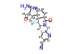 CC(CF)N(Cc1ccc(C#N)cn1)C(=O)c1ccc2nc(N)c3c(c2c1)COC3